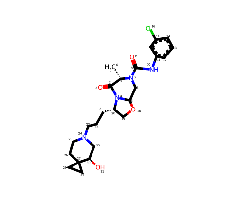 C[C@H]1C(=O)N2C(CN1C(=O)Nc1cccc(Cl)c1)OC[C@@H]2CCCN1CCC2(CC2)[C@H](O)C1